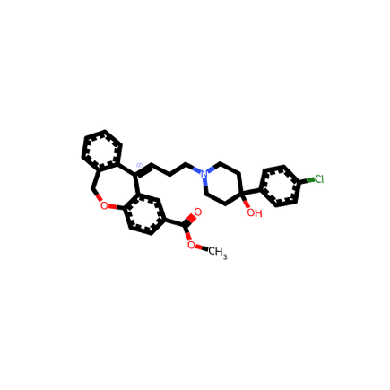 COC(=O)c1ccc2c(c1)/C(=C\CCN1CCC(O)(c3ccc(Cl)cc3)CC1)c1ccccc1CO2